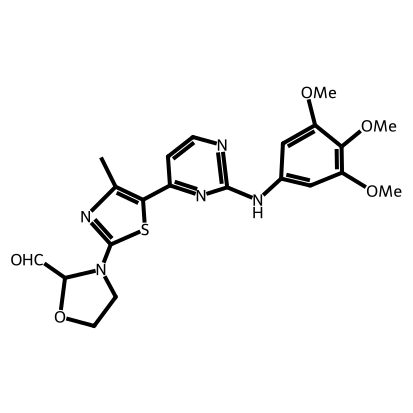 COc1cc(Nc2nccc(-c3sc(N4CCOC4C=O)nc3C)n2)cc(OC)c1OC